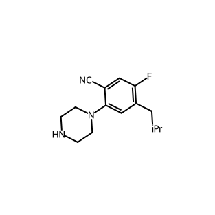 CC(C)Cc1cc(N2CCNCC2)c(C#N)cc1F